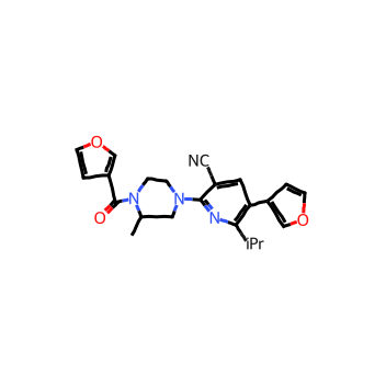 CC(C)c1nc(N2CCN(C(=O)c3ccoc3)C(C)C2)c(C#N)cc1-c1ccoc1